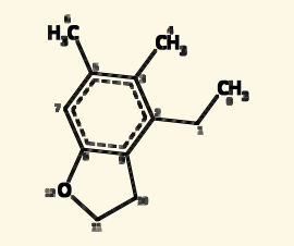 CCc1c(C)c(C)cc2c1CCO2